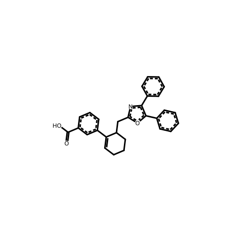 O=C(O)c1cccc(C2=CCCCC2Cc2nc(-c3ccccc3)c(-c3ccccc3)o2)c1